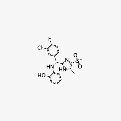 Cc1[nH]c(C(Nc2ccccc2O)c2ccc(F)c(Cl)c2)nc1S(C)(=O)=O